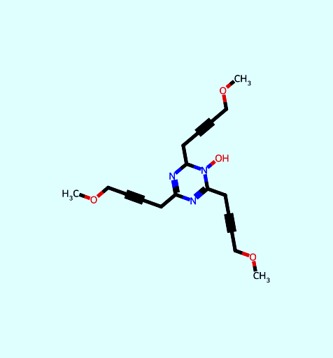 COCC#CCC1=NC(CC#CCOC)N(O)C(CC#CCOC)=N1